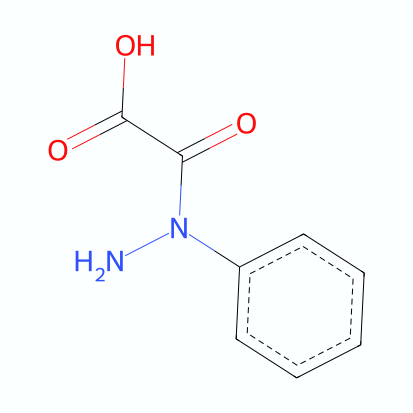 NN(C(=O)C(=O)O)c1ccccc1